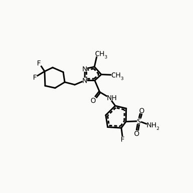 Cc1nn(CC2CCC(F)(F)CC2)c(C(=O)Nc2ccc(F)c(S(N)(=O)=O)c2)c1C